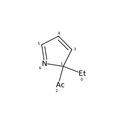 CCC1(C(C)=O)C=CC=N1